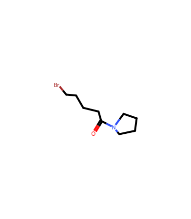 O=C(CCCCBr)N1CCCC1